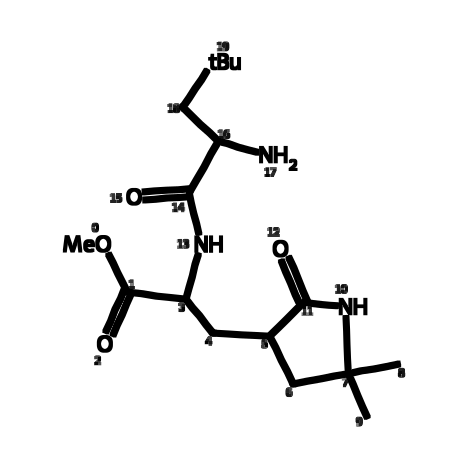 COC(=O)C(CC1CC(C)(C)NC1=O)NC(=O)C(N)CC(C)(C)C